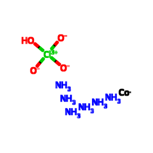 N.N.N.N.N.N.[Co].[O-][Cl+3]([O-])([O-])O